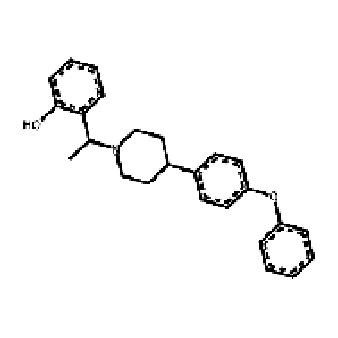 CC(c1ccccc1O)N1CCC(c2ccc(Oc3ccccc3)cc2)CC1